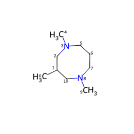 CC1CN(C)CCCN(C)C1